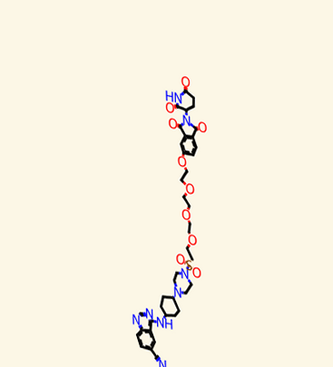 N#Cc1ccc2ncnc(NC3CCC(N4CCN(S(=O)(=O)CCOCCOCCOCCOc5ccc6c(c5)C(=O)N(C5CCC(=O)NC5=O)C6=O)CC4)CC3)c2c1